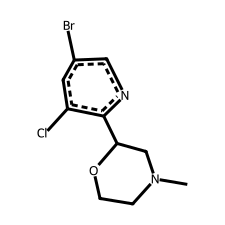 CN1CCOC(c2ncc(Br)cc2Cl)C1